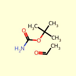 CC(C)(C)OC(N)=O.CC=O